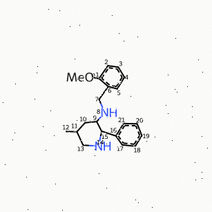 COc1ccccc1CNC1CC(C)CNC1c1ccccc1